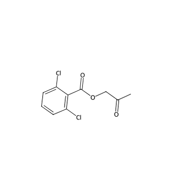 CC(=O)COC(=O)c1c(Cl)cccc1Cl